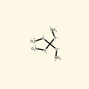 O=[N+]([O-])OC(O[N+](=O)[O-])(O[N+](=O)[O-])O[N+](=O)[O-]